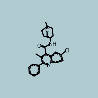 Cc1c(-c2ccccc2)nc2ccc(Cl)cc2c1C(=O)NC12CCC(C)(CC1)CC2